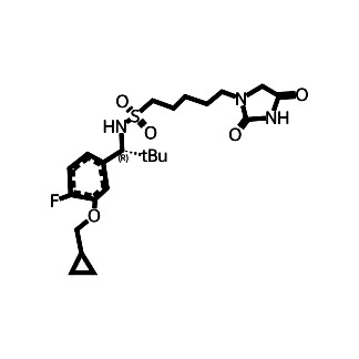 CC(C)(C)[C@@H](NS(=O)(=O)CCCCCN1CC(=O)NC1=O)c1ccc(F)c(OCC2CC2)c1